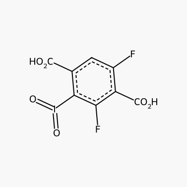 O=C(O)c1cc(F)c(C(=O)O)c(F)c1I(=O)=O